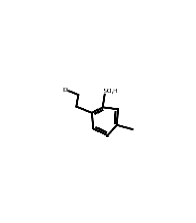 Cc1ccc(CC[O])c(S(=O)(=O)O)c1